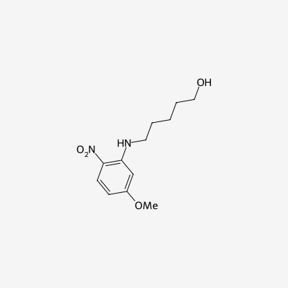 COc1ccc([N+](=O)[O-])c(NCCCCCO)c1